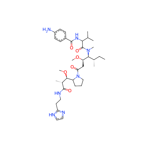 CC[C@H](C)[C@@H]([C@@H](CC(=O)N1CCCC1[C@H](OC)[C@@H](C)C(=O)NCCc1ncc[nH]1)OC)N(C)C(=O)C(NC(=O)c1ccc(N)cc1)C(C)C